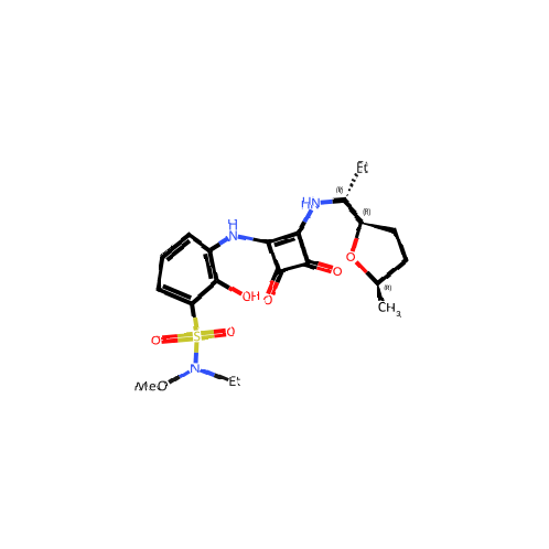 CC[C@@H](Nc1c(Nc2cccc(S(=O)(=O)N(CC)OC)c2O)c(=O)c1=O)[C@H]1CC[C@@H](C)O1